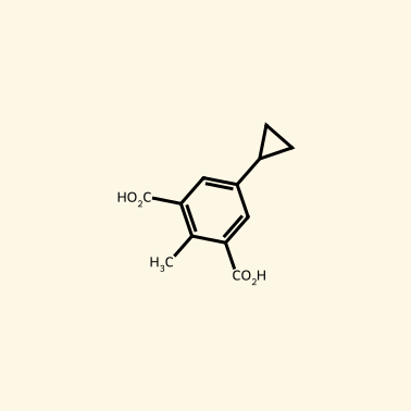 Cc1c(C(=O)O)cc(C2CC2)cc1C(=O)O